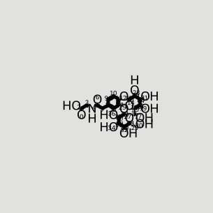 O=C(O)CNC(=O)Cc1ccc(O[C@@H]2O[C@H](CO)[C@@H](O)[C@H](O)[C@H]2O)c(O[C@@H]2O[C@H](CO)[C@@H](O)[C@H](O)[C@H]2O)c1